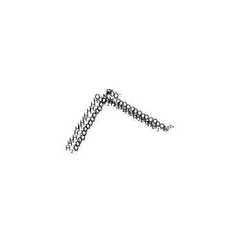 O.O.O.O.O.O.O.O.O.O.O.O.O.O.O.O.O.O.O.O.O.O.O.O.O.O.O.O=[N+]([O-])[O-].O=[N+]([O-])[O-].O=[N+]([O-])[O-].[Al+3]